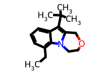 CCc1cccc2c(C(C)(C)C)c3n(c12)CCOC3